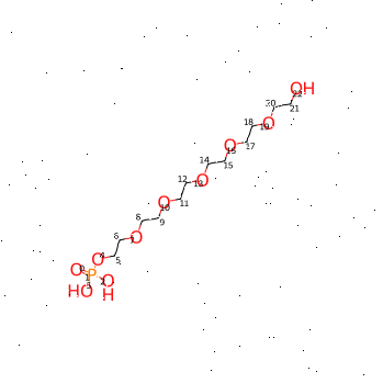 O=P(O)(O)OCCOCCOCCOCCOCCOCCO